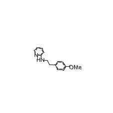 COc1ccc(CCNc2ccccn2)cc1